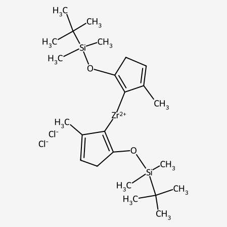 CC1=CCC(O[Si](C)(C)C(C)(C)C)=[C]1[Zr+2][C]1=C(O[Si](C)(C)C(C)(C)C)CC=C1C.[Cl-].[Cl-]